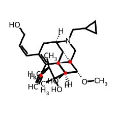 C#CC1=C(/C=C\CO)C[C@H]2N(CC3CC3)CC[C@@]13[C@H](O)[C@]1(OC)CC[C@@]23C[C@@H]1[C@](C)(O)C(C)(C)C